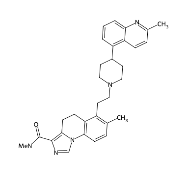 CNC(=O)c1ncn2c1CCc1c-2ccc(C)c1CCN1CCC(c2cccc3nc(C)ccc23)CC1